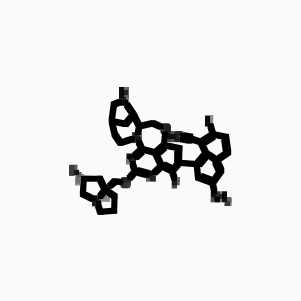 C#Cc1c(F)ccc2cc(N)cc(-c3cc4c5c(nc(OC[C@@]67CCCN6C[C@H](F)C7)nc5c3F)N3CCC5CNC(C5)C3CO4)c12